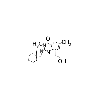 Cc1cc(CCO)c2nc(N3CC4(CCCCC4)C3)n(C)c(=O)c2c1